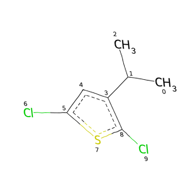 CC(C)c1cc(Cl)sc1Cl